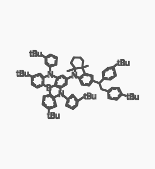 CC(C)(C)c1ccc(CC(c2ccc(C(C)(C)C)cc2)c2ccc3c(c2)C2(C)CCCCC2(C)N3c2cc3c4c(c2)N(c2cccc(C(C)(C)C)c2)c2cc(C(C)(C)C)ccc2B4c2ccc(C(C)(C)C)cc2N3c2cccc(C(C)(C)C)c2)cc1